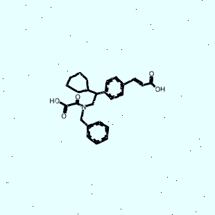 O=C(O)C=Cc1ccc(C(CN(Cc2ccccc2)C(=O)C(=O)O)C2CCCCC2)cc1